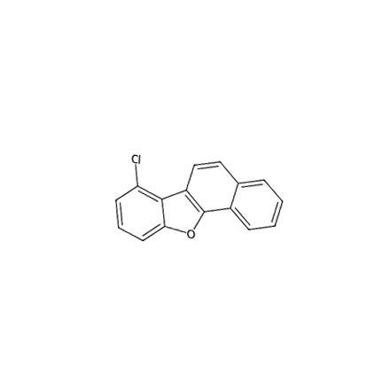 Clc1cccc2oc3c4ccccc4ccc3c12